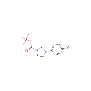 CC(C)(C)OC(=O)N1CCC(c2ccc(Cl)cc2)C1